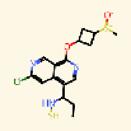 CCC(NS)c1cnc(OC2CC([S+](C)[O-])C2)c2cnc(Cl)cc12